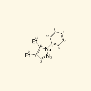 CCc1[c]nn(-c2ccccc2)c1CC